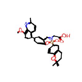 COc1ccc(-c2cccc(CN(CC(=O)O)S(=O)(=O)c3ccc4c(c3)CCC(C)(C)O4)c2)c2ccc(C)nc12